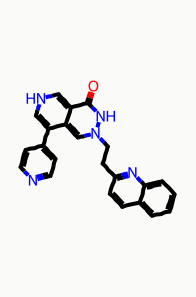 O=C1NN(CCc2ccc3ccccc3n2)C=C2C1=CNC=C2c1ccncc1